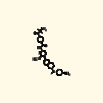 CN(C1CCc2cc(-n3ccc(NC(=O)N4CCN(C(=O)C(C)(C)N)CC4)nc3=O)ccc2C1)[C@H]1CC[C@H](N)CC1.Cl